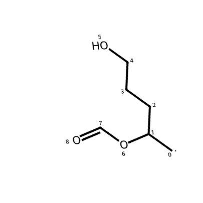 [CH2]C(CCCO)OC=O